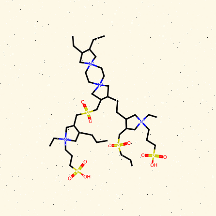 CCCC1C[N+](CC)(CCCS(=O)(=O)O)CC1CS(=O)(=O)CC1C[N+]2(CC[N+]3(CC2)CC(CC)C(CC)C3)CC1CCC1C[N+](CC)(CCCS(=O)(=O)O)CC1CS(=O)(=O)CCC